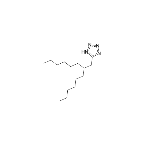 CCCCCCC(CCCCCC)Cc1nnn[nH]1